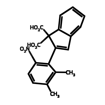 Cc1ccc([N+](=O)[O-])c(C2=Cc3ccccc3C2(C(=O)O)C(=O)O)c1C